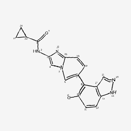 O=C(Nc1cn2cc(-c3c(Cl)ccc4[nH]ncc34)ccc2n1)C1CC1